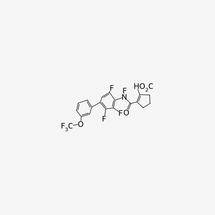 O=C(O)C1=C(C(=O)N(F)c2c(F)cc(-c3cccc(OC(F)(F)F)c3)c(F)c2F)CCC1